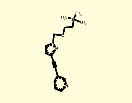 C[Si](C)(C)CCOCn1ccc(C#Cc2cccnc2)n1